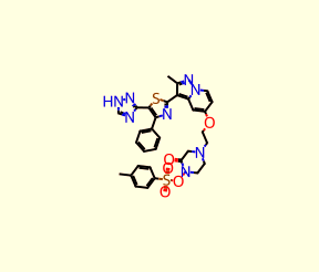 Cc1ccc(S(=O)(=O)ON2CCN(CCOc3ccn4nc(C)c(-c5nc(-c6ccccc6)c(-c6nc[nH]n6)s5)c4c3)CC2=O)cc1